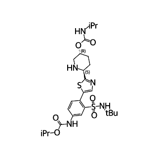 CC(C)NC(=O)O[C@@H]1CC[C@@H](c2ncc(-c3ccc(NC(=O)OC(C)C)cc3S(=O)(=O)NC(C)(C)C)s2)NC1